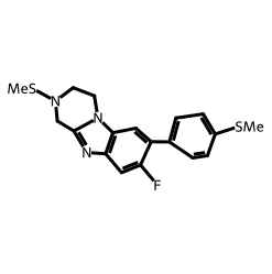 CSc1ccc(-c2cc3c(cc2F)nc2n3CCN(SC)C2)cc1